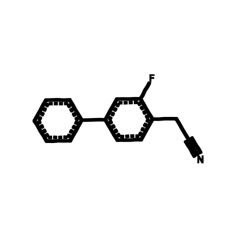 N#CCc1ccc(-c2ccccc2)cc1F